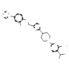 CC(C)c1cnc(N2CCC(c3nc(COc4ccc(-n5cnnn5)cc4F)cs3)CC2)nc1O